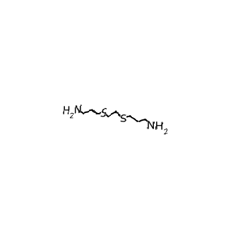 NCCCSCCSCCCN